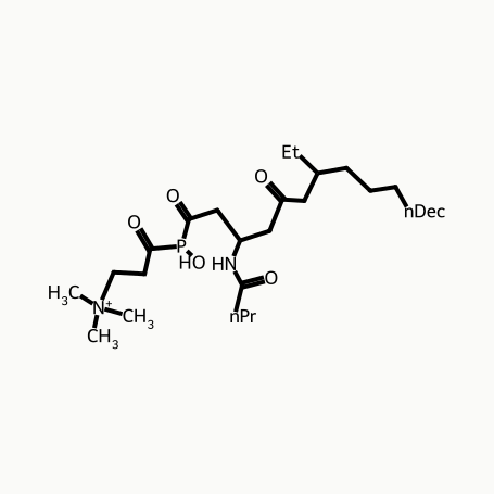 CCCCCCCCCCCCCC(CC)CC(=O)CC(CC(=O)P(O)C(=O)CC[N+](C)(C)C)NC(=O)CCC